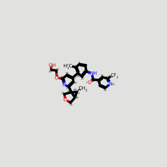 Cc1ccc(NC(=O)c2ccnc(C(F)(F)F)c2)cc1-c1cc(OCCO)nc(C23COCC2[C@H]3C)c1